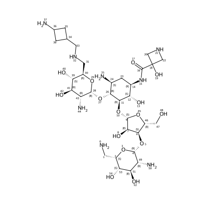 NC[C@@H]1O[C@H](O[C@H]2[C@@H](O)[C@H](O[C@@H]3[C@@H](O)[C@H](NC(=O)C4(O)CNC4)C[C@H](N)[C@H]3O[C@H]3O[C@H](CNCC4CC(N)C4)[C@@H](O)[C@H](O)[C@H]3N)O[C@@H]2CO)[C@H](N)[C@@H](O)[C@@H]1O